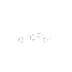 BC(Oc1cc(C)n(C2=CC(c3ccnc(C(C)(C)O)n3)NC=C2C)c(=O)c1Cl)c1ncc(F)cc1F